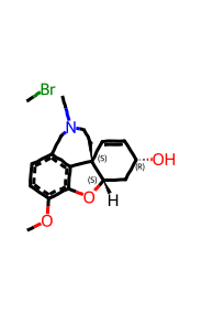 CBr.COc1ccc2c3c1O[C@H]1C[C@@H](O)C=C[C@@]31CCN(C)C2